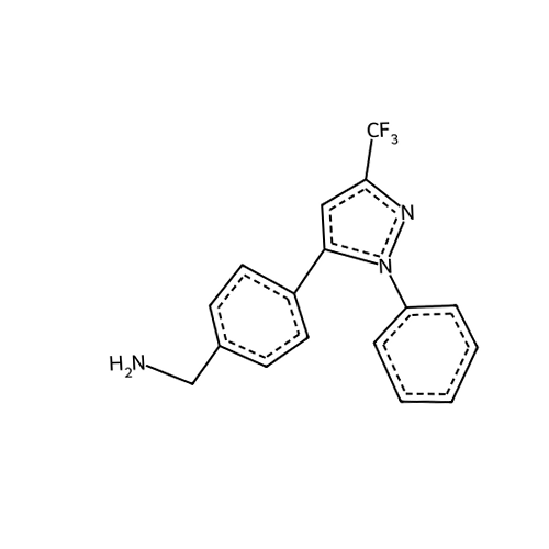 NCc1ccc(-c2cc(C(F)(F)F)nn2-c2ccccc2)cc1